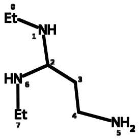 CCNC(CCN)NCC